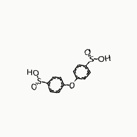 O=S(O)c1ccc(Oc2ccc(S(=O)O)cc2)cc1